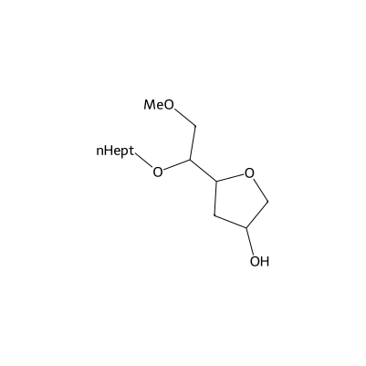 CCCCCCCOC(COC)C1CC(O)CO1